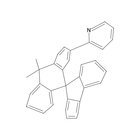 CC1(C)c2ccccc2C2(c3ccccc3-c3ccccc32)c2cc(-c3ccccn3)ccc21